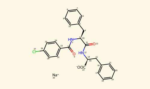 O=C(N[C@@H](Cc1ccccc1)C(=O)N[C@@H](Cc1ccccc1)C(=O)[O-])c1ccc(Cl)cc1.[Na+]